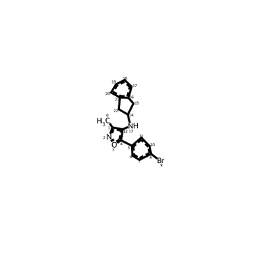 Cc1noc(-c2ccc(Br)cc2)c1NC1Cc2ccccc2C1